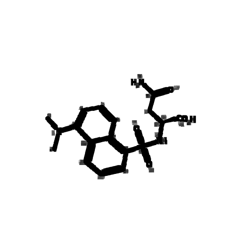 CN(C)c1cccc2c(S(=O)(=O)N[C@@H](CC(N)=O)C(=O)O)cccc12